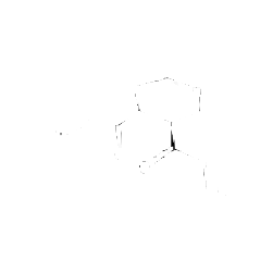 CCCCOC(=O)[C@H]1CC=CC[C@H]1C(=O)OCCCC